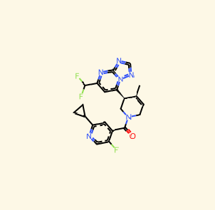 CC1=CCN(C(=O)c2cc(C3CC3)ncc2F)C[C@H]1c1cc(C(F)F)nc2ncnn12